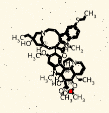 CCSc1ccc2[nH]c3c(c2c1)CCN1C[C@H](C[C@@](O)(CC)C1)C[C@]3(C(=O)OC)C1C=C2C(=CC1OC)N(C)[C@H]1[C@@](O)(C(=O)OC)[C@H](OC(C)=O)[C@]3(CC)C=CCN4CC[C@]21[C@@H]43